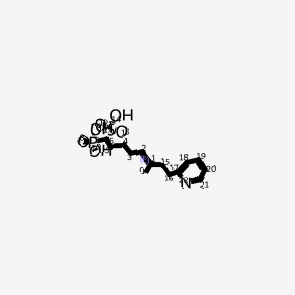 C/C(=C\CCCC(P(=O)(O)O)S(=O)(=O)O)CCc1ccccn1